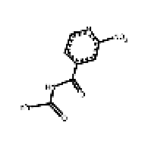 CCCC(=O)NC(=O)c1ccnc([N+](=O)[O-])c1